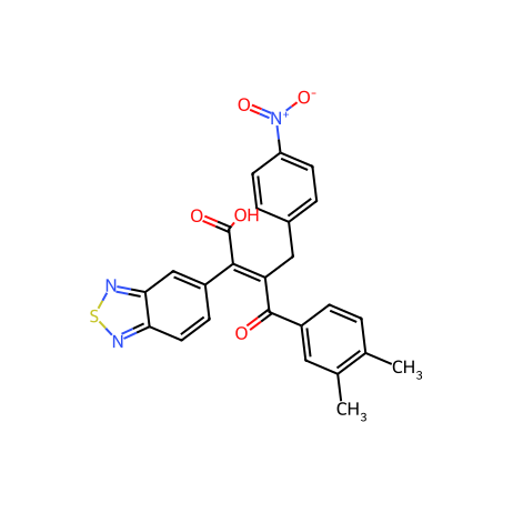 Cc1ccc(C(=O)C(Cc2ccc([N+](=O)[O-])cc2)=C(C(=O)O)c2ccc3nsnc3c2)cc1C